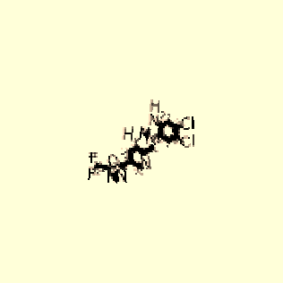 Nc1cc(Cl)c(Cl)cc1N(N)Cc1ccc(-c2nnc(C(F)F)o2)cn1